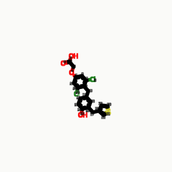 O=C(O)COc1cc(Cl)c(Cc2ccc(O)c(Cc3ccsc3)c2)c(Cl)c1